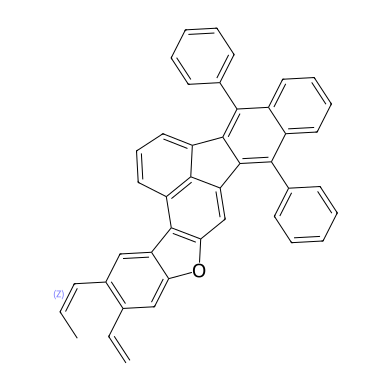 C=Cc1cc2oc3cc4c5c(cccc5c3c2cc1/C=C\C)-c1c-4c(-c2ccccc2)c2ccccc2c1-c1ccccc1